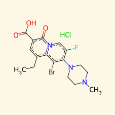 CCc1cc(C(=O)O)c(=O)n2cc(F)c(N3CCN(C)CC3)c(Br)c12.Cl